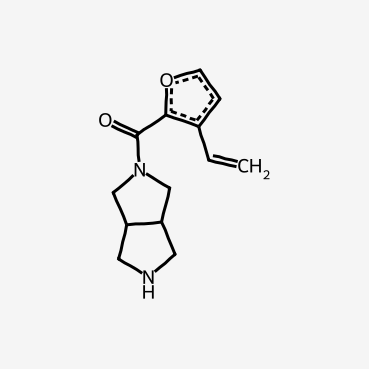 C=Cc1ccoc1C(=O)N1CC2CNCC2C1